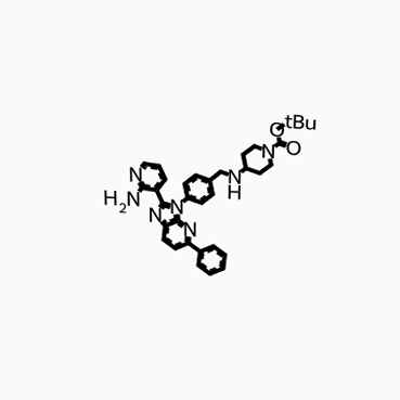 CC(C)(C)OC(=O)N1CCC(NCc2ccc(-n3c(-c4cccnc4N)nc4ccc(-c5ccccc5)nc43)cc2)CC1